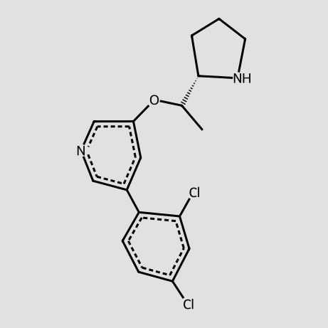 CC(Oc1cncc(-c2ccc(Cl)cc2Cl)c1)[C@@H]1CCCN1